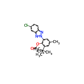 CC(=O)Oc1c(-n2nc3ccc(Cl)cc3n2)cc(C)cc1C(C)(C)C